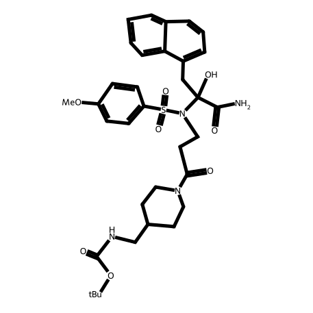 COc1ccc(S(=O)(=O)N(CCC(=O)N2CCC(CNC(=O)OC(C)(C)C)CC2)C(O)(Cc2cccc3ccccc23)C(N)=O)cc1